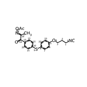 [C-]#[N+]CCCOc1ccc(Sc2ccc(C(=O)/C(C)=N/OC(C)=O)cc2)cc1